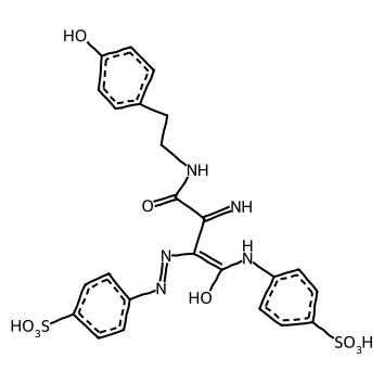 N=C(C(=O)NCCc1ccc(O)cc1)C(/N=N/c1ccc(S(=O)(=O)O)cc1)=C(/O)Nc1ccc(S(=O)(=O)O)cc1